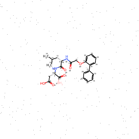 BC(=O)[C@H](CC(=O)O)NC(=O)[C@H](CC(C)C)NC(=O)COc1ccccc1-c1ccccc1